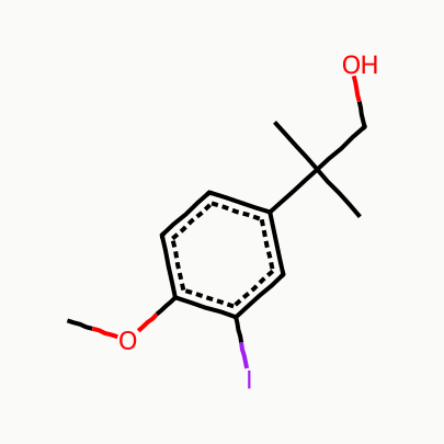 COc1ccc(C(C)(C)CO)cc1I